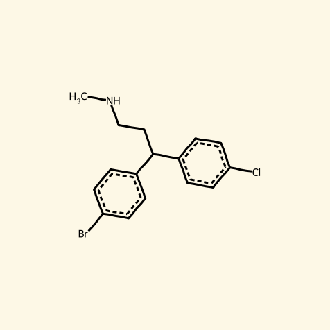 CNCCC(c1ccc(Cl)cc1)c1ccc(Br)cc1